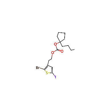 CCCCC1(OC(=O)OCCc2cc(I)sc2Br)CCCC1